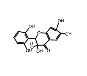 O=C1c2cc(O)c(O)cc2OC(c2c(O)cccc2O)C1(O)O